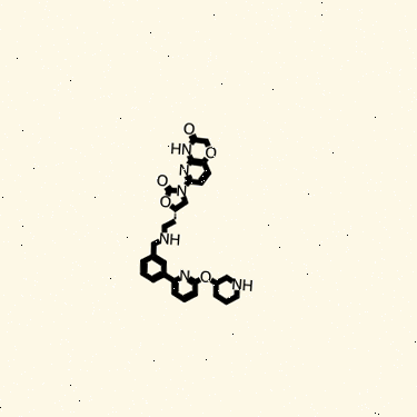 O=C1COc2ccc(N3C[C@H](CCNCc4cccc(-c5cccc(OC6CCCNC6)n5)c4)OC3=O)nc2N1